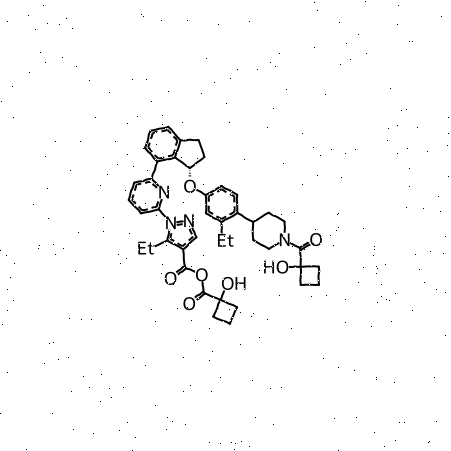 CCc1cc(O[C@H]2CCc3cccc(-c4cccc(-n5ncc(C(=O)OC(=O)C6(O)CCC6)c5CC)n4)c32)ccc1C1CCN(C(=O)C2(O)CCC2)CC1